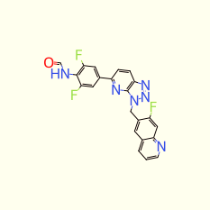 O=CNc1c(F)cc(-c2ccc3nnn(Cc4cc5cccnc5cc4F)c3n2)cc1F